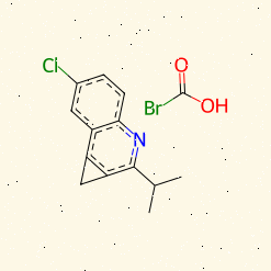 CC(C)c1nc2ccc(Cl)cc2c2c1C2.O=C(O)Br